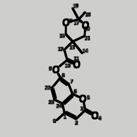 Cc1cc(=O)oc2cc(OC(=O)CC3(C)COC(C)(C)OC3)ccc12